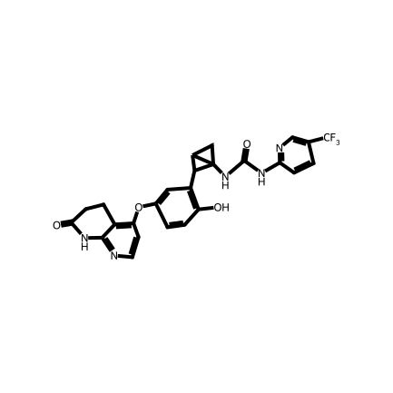 O=C1CCc2c(Oc3ccc(O)c(C4C5CC54NC(=O)Nc4ccc(C(F)(F)F)cn4)c3)ccnc2N1